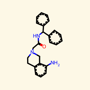 Nc1cccc2c1CN(CC(=O)NC(c1ccccc1)c1ccccc1)CC2